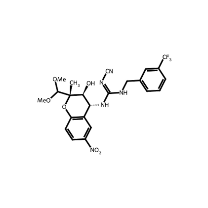 COC(OC)[C@@]1(C)Oc2ccc([N+](=O)[O-])cc2[C@@H](NC(=NC#N)NCc2cccc(C(F)(F)F)c2)[C@@H]1O